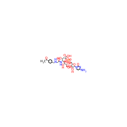 CC(=O)c1ccc(CNCC(=O)N[C@H]2C([C@H](O)[C@H](O)CO)O[C@](OP(=O)(O)OC[C@H]3O[C@@H](n4ccc(N)nc4=O)[C@@H](O)C3O)(C(=O)O)C[C@H]2O)cc1